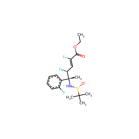 CCOC(=O)/C(F)=C/[C@H](F)[C@](C)(N[S+]([O-])C(C)(C)C)c1ccccc1F